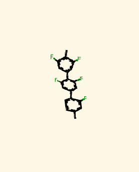 Cc1ccc(-c2cc(F)c(-c3cc(F)c(C)c(F)c3)c(F)c2)c(F)c1